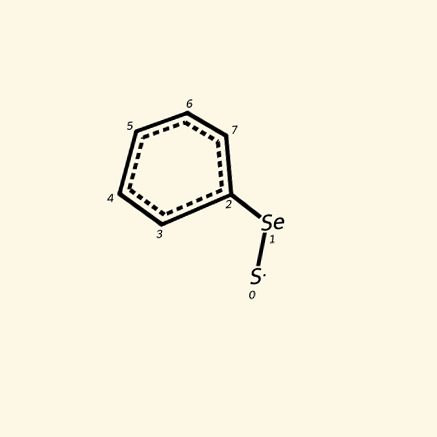 [S][Se]c1ccccc1